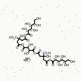 N.N.O=C(CC(O)(CC(=O)OC(=O)[C@H](O)[C@@H](O)[C@H](O)[C@H](O)CO)C(=O)O)OC(=O)C(O)C(O)C(=O)OC(=O)CC(O)(CC(=O)OC(=O)[C@H](O)[C@@H](O)[C@H](O)[C@H](O)CO)C(=O)O